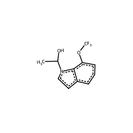 C[C](O)n1ccc2cccc(OC(F)(F)F)c21